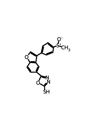 C[S+]([O-])c1ccc(-c2coc3ccc(-c4nnc(S)o4)cc23)cc1